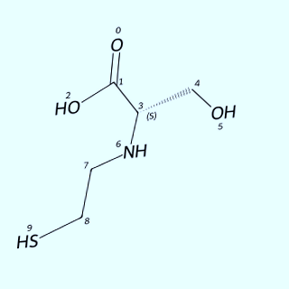 O=C(O)[C@H](CO)NCCS